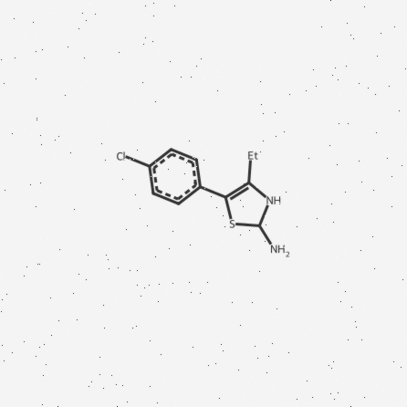 CCC1=C(c2ccc(Cl)cc2)SC(N)N1